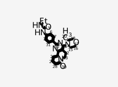 CCNC(=O)Nc1ccc(-c2nc3c(c(N4CCOCC4C)n2)CCn2c-3cccc2=O)cc1